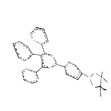 CC1(C)OB(c2ccc(-c3nc(-c4ccccn4)c(-c4ccccc4)c(-c4ccccn4)n3)cc2)OC1(C)C